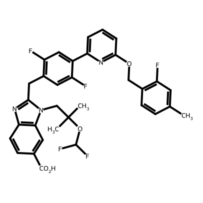 Cc1ccc(COc2cccc(-c3cc(F)c(Cc4nc5ccc(C(=O)O)cc5n4CC(C)(C)OC(F)F)cc3F)n2)c(F)c1